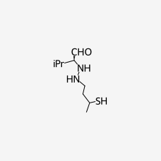 CC(S)CCNN[C@H](C=O)C(C)C